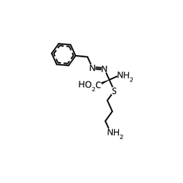 NCCCS[C@@](N)(N=NCc1ccccc1)C(=O)O